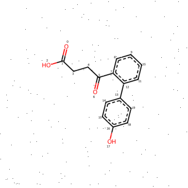 O=C(O)CCC(=O)c1ccccc1-c1ccc(O)cc1